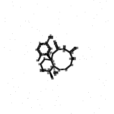 Cc1ccc(O)cc1[C@]12CCN[C@H](C)[C@]1(O)CCCNC(=O)NC(=O)C2